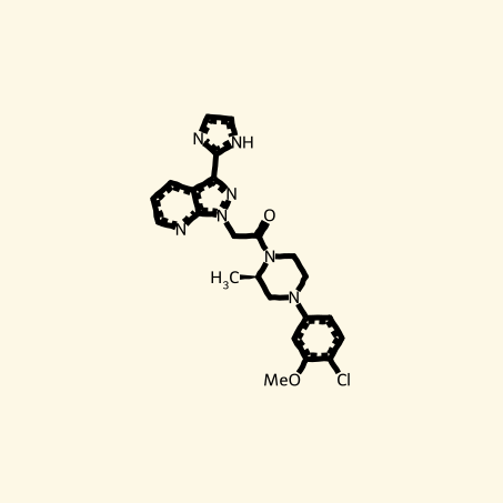 COc1cc(N2CCN(C(=O)Cn3nc(-c4ncc[nH]4)c4cccnc43)[C@H](C)C2)ccc1Cl